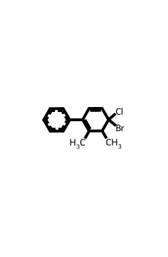 CC1=C(c2ccccc2)C=CC(Cl)(Br)C1C